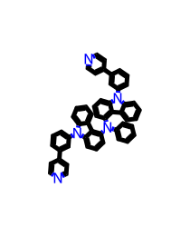 c1ccc(N(c2cccc3c2c2ccccc2n3-c2cccc(-c3ccncc3)c2)c2cccc3c2c2ccccc2n3-c2cccc(-c3ccncc3)c2)cc1